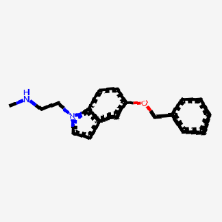 CNCCn1ccc2cc(OCc3ccccc3)ccc21